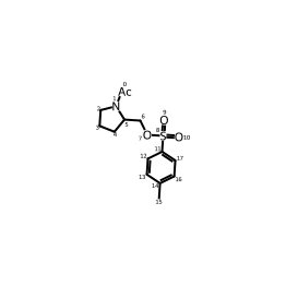 CC(=O)N1CCCC1COS(=O)(=O)c1ccc(C)cc1